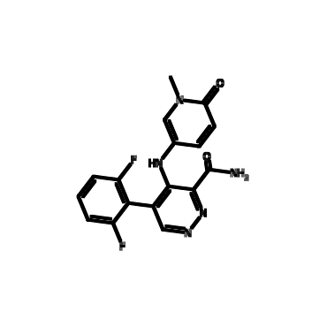 Cn1cc(Nc2c(-c3c(F)cccc3F)cnnc2C(N)=O)ccc1=O